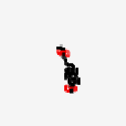 CC(=O)O[C@@H]1CC[C@@]2(C)[C@H](CC[C@H]3[C@@H]4CCC(CCCC(=O)OC(C)(C)C)C4C=C[C@@H]32)C1